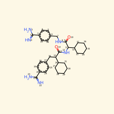 N=C(N)c1ccc(CNC(=O)C(NC(=O)C(Cc2ccc(C(=N)N)cc2)C2CCCCC2)C2CCCCC2)cc1